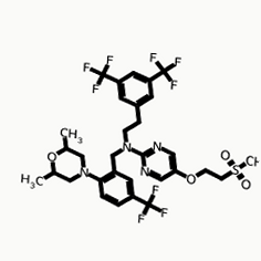 CC1CN(c2ccc(C(F)(F)F)cc2CN(CCc2cc(C(F)(F)F)cc(C(F)(F)F)c2)c2ncc(OCCS(C)(=O)=O)cn2)CC(C)O1